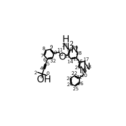 CC(C)(O)C#Cc1cccc(COc2cc(-c3cnn(Cc4ccccc4)c3)cnc2N)c1